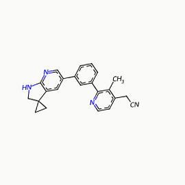 Cc1c(CC#N)ccnc1-c1cccc(-c2cnc3c(c2)C2(CC2)CN3)c1